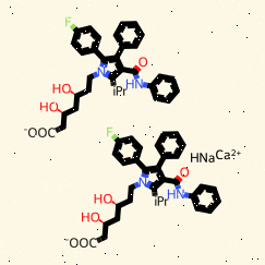 CC(C)c1c(C(=O)Nc2ccccc2)c(-c2ccccc2)c(-c2ccc(F)cc2)n1CC[C@@H](O)C[C@@H](O)CC(=O)[O-].CC(C)c1c(C(=O)Nc2ccccc2)c(-c2ccccc2)c(-c2ccc(F)cc2)n1CC[C@@H](O)C[C@@H](O)CC(=O)[O-].[Ca+2].[NaH]